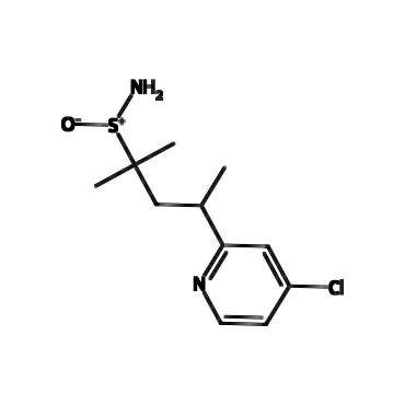 CC(CC(C)(C)[S+](N)[O-])c1cc(Cl)ccn1